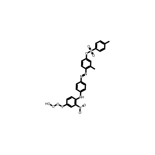 Cc1ccc(S(=O)(=O)Oc2ccc(/N=N/c3ccc(Nc4ccc(SOOO)cc4[N+](=O)[O-])cc3)c(C)c2)cc1